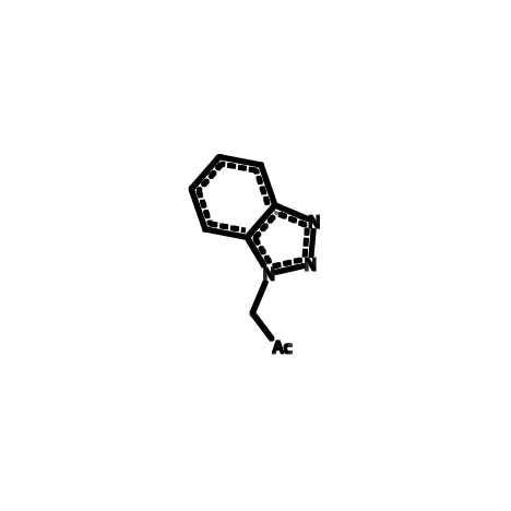 CC(=O)Cn1nnc2ccccc21